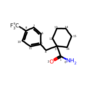 NC(=O)C1(Cc2ccc(C(F)(F)F)cc2)CCCCC1